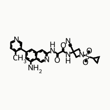 Cc1ccncc1-c1cc(N)c2cnc(NC(=O)C(=O)NC3(C#N)CN(S(=O)(=O)C4CC4)C3)cc2c1